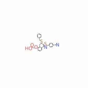 N#Cc1ccc(-c2nc3c(s2)C(SCc2ccccc2)Cc2c(OCC(=O)O)cccc2-3)cc1